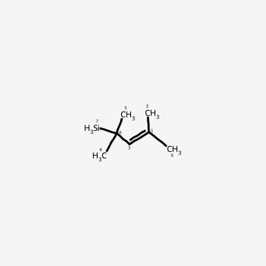 CC(C)=CC(C)(C)[SiH3]